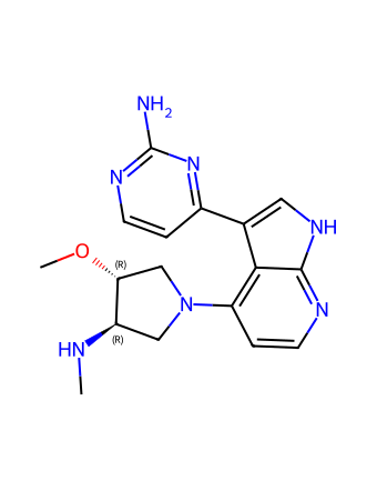 CN[C@@H]1CN(c2ccnc3[nH]cc(-c4ccnc(N)n4)c23)C[C@H]1OC